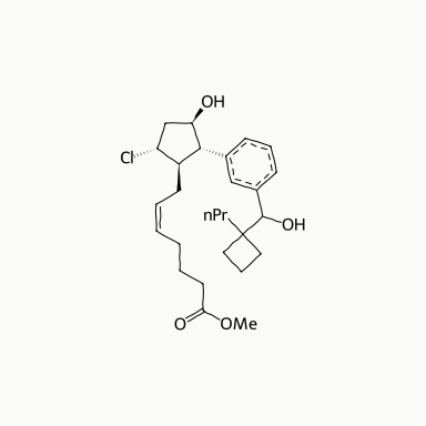 CCCC1(C(O)c2cccc([C@@H]3[C@@H](C/C=C\CCCC(=O)OC)[C@H](Cl)C[C@H]3O)c2)CCC1